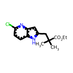 CCOC(=O)C(C)(C)Cc1cc2nc(Cl)ccc2[nH]1